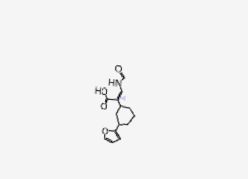 O=CN/C=C(\C(=O)O)C1CCCC(c2ccco2)C1